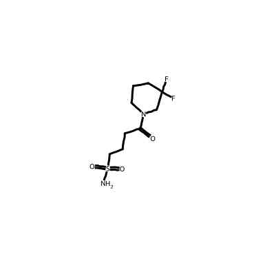 NS(=O)(=O)CCCC(=O)N1CCCC(F)(F)C1